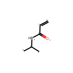 C=CC(=O)BC(C)C